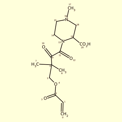 C=CC(=O)OCC(C)(C)C(=O)C(=O)N1CCN(C)CC1C(=O)O